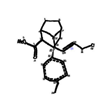 COC(=O)C1C2CCC(C[C@@H]1c1ccc(C)cc1)N2C/C=C/CCl